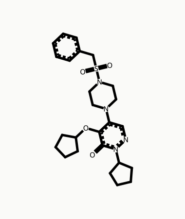 O=c1c(OC2CCCC2)c(N2CCN(S(=O)(=O)Cc3ccccc3)CC2)cnn1C1CCCC1